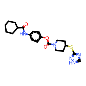 O=C(Nc1ccc(OC(=O)N2CCC(Sc3nc[nH]n3)CC2)cc1)C1CCCCC1